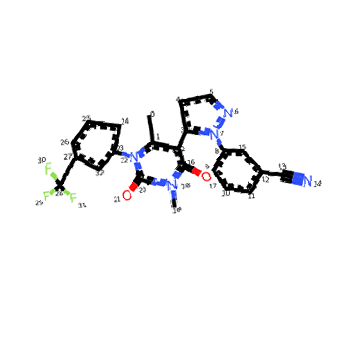 Cc1c(-c2ccnn2-c2cccc(C#N)c2)c(=O)n(C)c(=O)n1-c1cccc(C(F)(F)F)c1